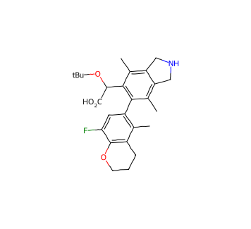 Cc1c(-c2c(C)c3c(c(C)c2C(OC(C)(C)C)C(=O)O)CNC3)cc(F)c2c1CCCO2